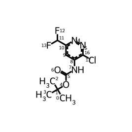 CC(C)(C)OC(=O)Nc1cc(C(F)F)nnc1Cl